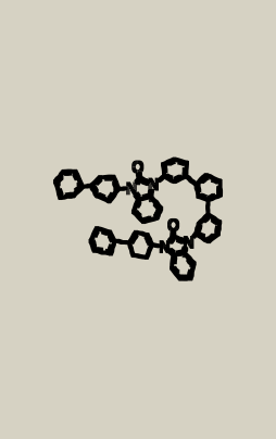 O=c1n(C2=CC=C(c3ccccc3)CC2)c2ccccc2n1-c1cccc(-c2cccc(-c3cccc(-n4c(=O)n(-c5ccc(-c6ccccc6)cc5)c5ccccc54)c3)c2)c1